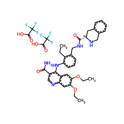 CCOc1cc2ncc(C(N)=O)c(Nc3cccc(CNC(=O)[C@@H]4Cc5ccccc5CN4)c3CC)c2cc1OCC.O=C(O)C(F)(F)F.O=C(O)C(F)(F)F